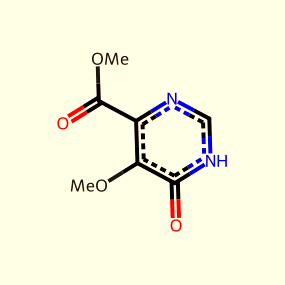 COC(=O)c1nc[nH]c(=O)c1OC